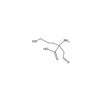 NC(CC=O)(CCCO)C(=O)O